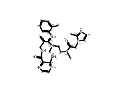 C=C(CNC(=O)c1nccnc1N)/C(=N\c1ccccc1C)N(C)CCN(C)C(=O)Cn1ccnc1C